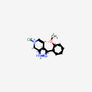 COc1ccccc1-c1n[nH]c2c1C=CN(Cl)C2